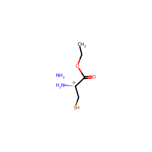 CCOC(=O)[C@@H](N)CS.N